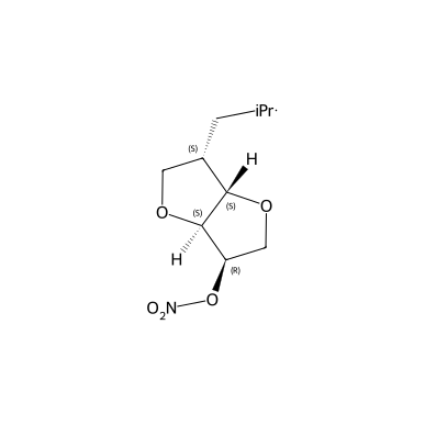 C[C](C)C[C@H]1CO[C@H]2[C@H]1OC[C@H]2O[N+](=O)[O-]